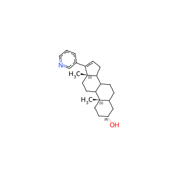 C[C@]12CC[C@@H](O)CC1CCC1C2CC[C@]2(C)C(c3cccnc3)=CCC12